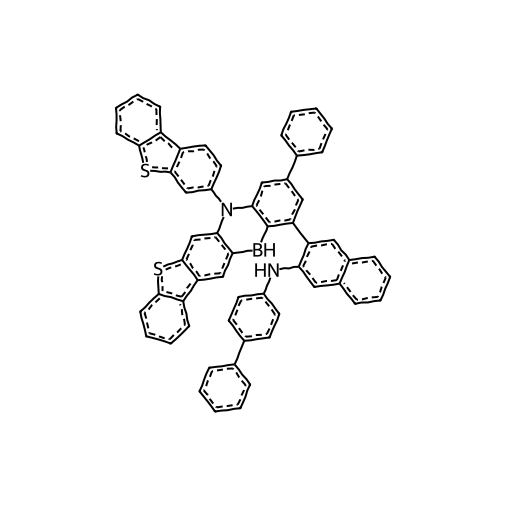 B1c2cc3c(cc2N(c2ccc4c(c2)sc2ccccc24)c2cc(-c4ccccc4)cc(-c4cc5ccccc5cc4Nc4ccc(-c5ccccc5)cc4)c21)sc1ccccc13